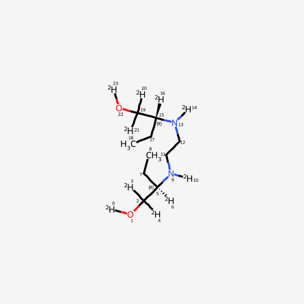 [2H]OC([2H])([2H])[C@@]([2H])(CC)N([2H])CCN([2H])[C@]([2H])(CC)C([2H])([2H])O[2H]